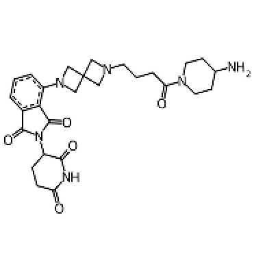 NC1CCN(C(=O)CCCN2CC3(C2)CN(c2cccc4c2C(=O)N(C2CCC(=O)NC2=O)C4=O)C3)CC1